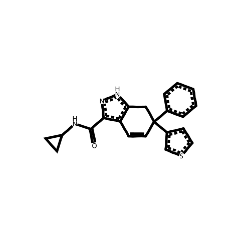 O=C(NC1CC1)c1n[nH]c2c1C=CC(c1ccccc1)(c1ccsc1)C2